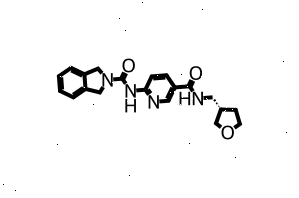 O=C(NC[C@@H]1CCOC1)c1ccc(NC(=O)N2Cc3ccccc3C2)nc1